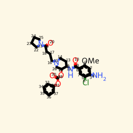 COc1cc(N)c(Cl)cc1C(=O)N[C@@H]1CCN(CCCC(=O)N2CCCC2)C[C@@H]1OC(=O)Oc1ccccc1